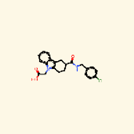 O=C(O)Cn1c2c(c3ccccc31)CC(C(=O)NCc1ccc(Cl)cc1)CC2